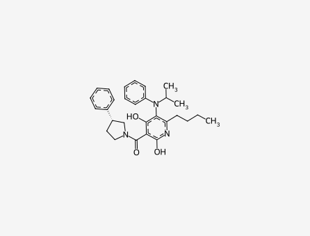 CCCCc1nc(O)c(C(=O)N2CC[C@H](c3ccccc3)C2)c(O)c1N(c1ccccc1)C(C)C